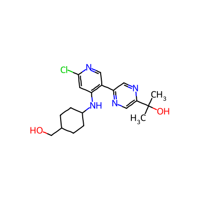 CC(C)(O)c1cnc(-c2cnc(Cl)cc2NC2CCC(CO)CC2)cn1